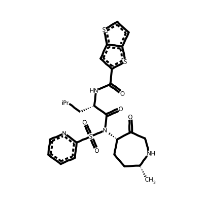 CC(C)C[C@H](NC(=O)c1cc2sccc2s1)C(=O)N([C@H]1CC[C@@H](C)NCC1=O)S(=O)(=O)c1ccccn1